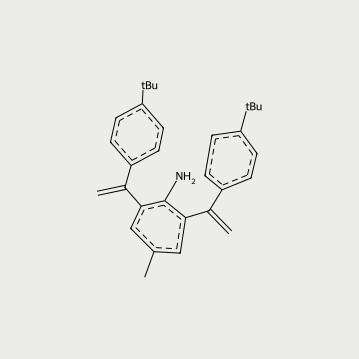 C=C(c1ccc(C(C)(C)C)cc1)c1cc(C)cc(C(=C)c2ccc(C(C)(C)C)cc2)c1N